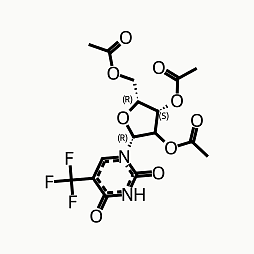 CC(=O)OC[C@H]1O[C@@H](n2cc(C(F)(F)F)c(=O)[nH]c2=O)C(OC(C)=O)[C@H]1OC(C)=O